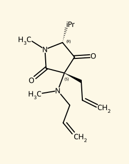 C=CCN(C)[C@@]1(CC=C)C(=O)[C@@H](C(C)C)N(C)C1=O